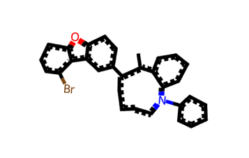 Cc1c(-c2ccc3oc4cccc(Br)c4c3c2)ccccn(-c2ccccc2)c2ccccc12